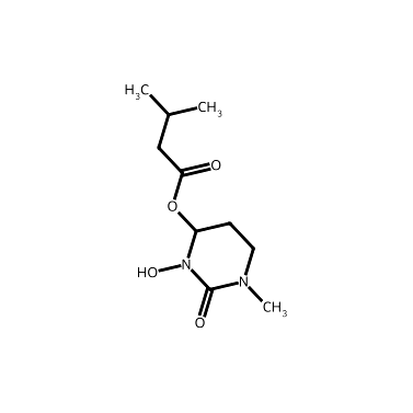 CC(C)CC(=O)OC1CCN(C)C(=O)N1O